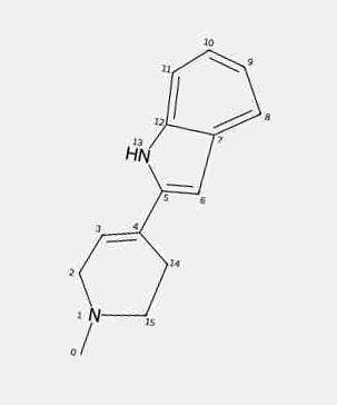 CN1CC=C(c2cc3ccccc3[nH]2)CC1